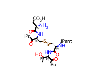 CCCC(C)N[C@@H](CSSC[C@H](NC(=O)[C@@H](N)CC(=O)O)C(=O)C(C)C)C(=O)N[C@H](C(=O)C(C)CC)[C@@H](C)O